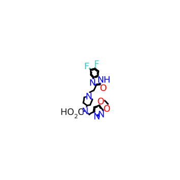 O=C(O)N(Cc1cc2c(nn1)OCCO2)C1CCN(CCc2nc3cc(F)c(F)cc3[nH]c2=O)CC1